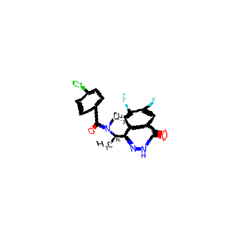 C[C@H](c1n[nH]c(=O)c2cc(F)c(F)cc12)N(C)C(=O)c1ccc(Cl)cc1